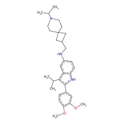 COc1ccc(-c2[nH]c3ccc(NCC4CC5(CCN(C(C)C)CC5)C4)cc3c2C(C)C)cc1OC